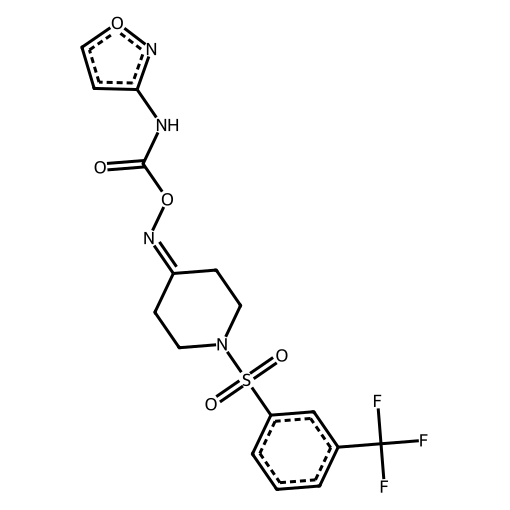 O=C(Nc1ccon1)ON=C1CCN(S(=O)(=O)c2cccc(C(F)(F)F)c2)CC1